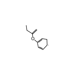 C=C(CC)OC1=CC[CH]C=C1